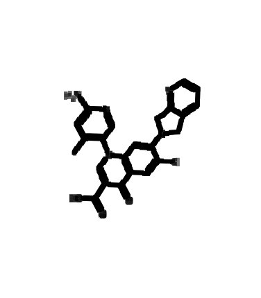 Cc1cc(N)ncc1-n1cc(C(=O)O)c(=O)c2cc(Cl)c(N3Cc4cccnc4C3)cc21